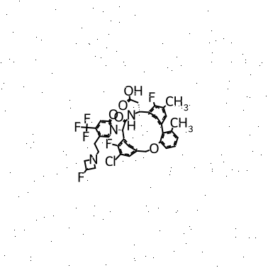 Cc1cc2cc(c1F)[C@@H](CC(=O)O)NC(=O)[C@@H](n1cc(CCN3CC(F)C3)c(C(F)(F)F)cc1=O)c1cc(cc(Cl)c1F)COc1cccc(C)c1-2